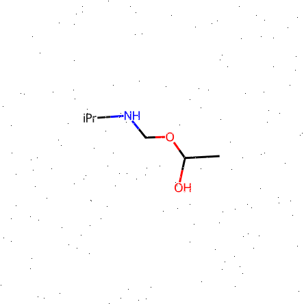 CC(C)NCOC(C)O